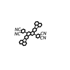 N#Cc1ccc(-c2cc3c4cc5c(cc4c(-c4ccc(C#N)c(C#N)c4)cc3c3cc4c(cc23)-c2cccc3cccc-4c23)-c2cccc3cccc-5c23)cc1C#N